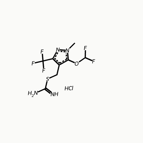 Cl.Cn1nc(C(F)(F)F)c(CSC(=N)N)c1OC(F)F